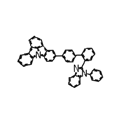 c1ccc(-n2c(-c3ccccc3-c3ccc(-c4ccc5c(c4)c4cccc6c7ccccc7n5c64)cc3)nc3ccccc32)cc1